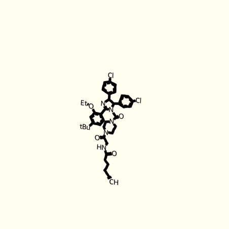 C#CCCCC(=O)NCC(=O)N1CCN(C(=O)N2C(c3ccc(C(C)(C)C)cc3OCC)=NC(c3ccc(Cl)cc3)C2c2ccc(Cl)cc2)CC1